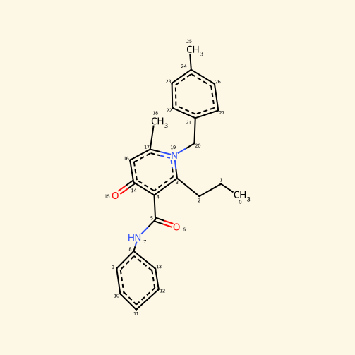 CCCc1c(C(=O)Nc2ccccc2)c(=O)cc(C)n1Cc1ccc(C)cc1